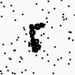 O=C(Nc1cccc2ccsc12)OCCN1CCC(C(=O)c2ccc(Br)cc2)CC1